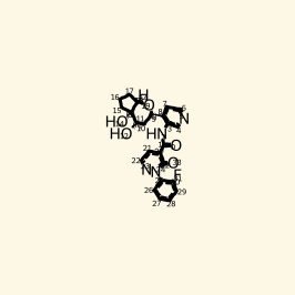 O=C(Nc1cnccc1[C@H]1C[C@@H](O)[C@@]2(O)CCC[C@H]2O1)c1ccnn(-c2ccccc2F)c1=O